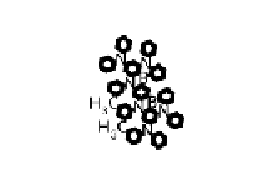 Cc1cccc(N2c3cc4c(cc3B3c5ccccc5N(c5ccccc5)c5cc(N(c6ccccc6)c6ccccc6)cc2c53)B2c3ccccc3N(c3ccccc3)c3cc(N(c5ccccc5)c5ccccc5)cc(c32)N4c2cccc(C)c2)c1